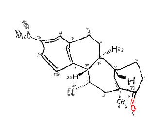 CC[C@H]1C[C@]2(C)C(=O)CC[C@H]2[C@@H]2CCc3cc(OC)ccc3[C@@H]12